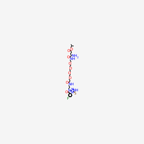 CC(C)COC(=O)CC[C@H](N)C(=O)NCCOCCOCCOCCOCCC(=O)NCCCn1c(=O)c2cc(F)ccc2n2c(=S)[nH]nc12